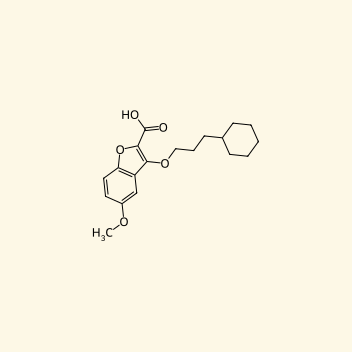 COc1ccc2oc(C(=O)O)c(OCCCC3CCCCC3)c2c1